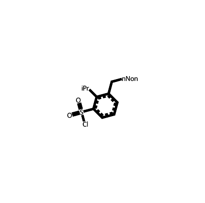 CCCCCCCCCCc1cccc(S(=O)(=O)Cl)c1C(C)C